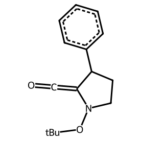 CC(C)(C)ON1CCC(c2ccccc2)C1=C=O